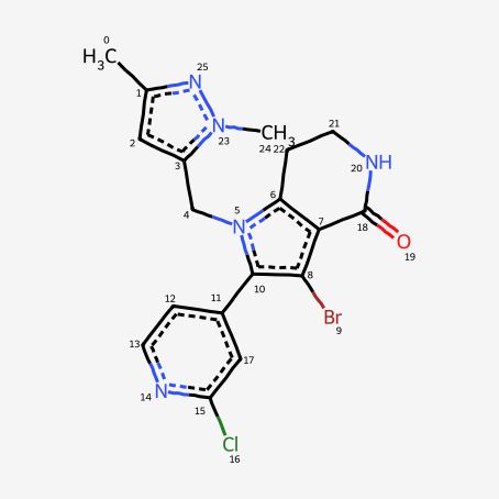 Cc1cc(Cn2c3c(c(Br)c2-c2ccnc(Cl)c2)C(=O)NCC3)n(C)n1